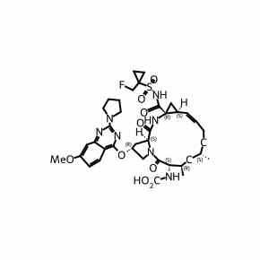 COc1ccc2c(O[C@@H]3C[C@H]4C(=O)N[C@]5(C(=O)NS(=O)(=O)C6(CF)CC6)C[C@H]5C=CCC[C@H](C)C[C@@H](C)[C@H](NC(=O)O)C(=O)N4C3)nc(N3CCCC3)nc2c1